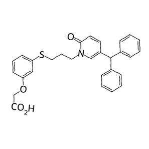 O=C(O)COc1cccc(SCCCn2cc(C(c3ccccc3)c3ccccc3)ccc2=O)c1